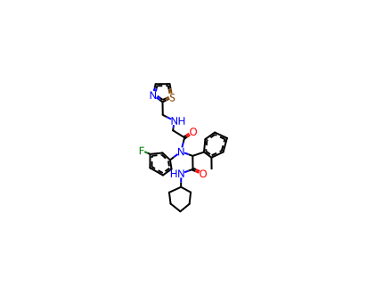 Cc1ccccc1C(C(=O)NC1CCCCC1)N(C(=O)CNCc1nccs1)c1cccc(F)c1